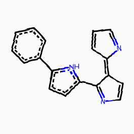 C1=CC(=C2C=CN=C2c2ccc(-c3ccccc3)[nH]2)N=C1